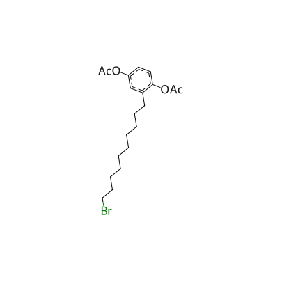 CC(=O)Oc1ccc(OC(C)=O)c(CCCCCCCCCCBr)c1